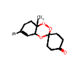 CC(C)C1=CC2OC3(CCC(=O)CC3)OOC2(C)CC1